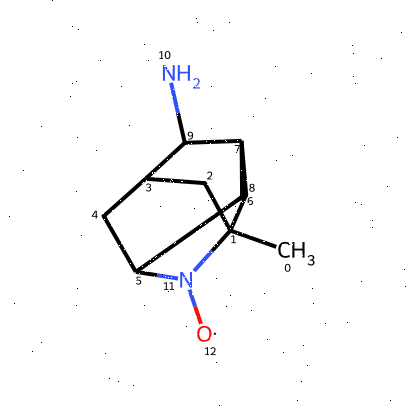 CC12CC3CC(CC(C1)C3N)N2[O]